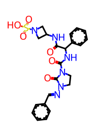 O=C(NC1CN(S(=O)(=O)O)C1)C(NC(=O)N1CCN(N=Cc2ccccc2)C1=O)c1ccccc1